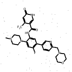 CN1CCN(c2cc(F)c(-c3ccc(CN4CCOCC4)nc3)cc2NC(=O)c2c[nH]c(=O)cc2C(F)(F)F)CC1